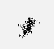 C=CC(=O)N[C@H]1CC2[C@@H]([C@H]1Nc1ncc3cc(-c4c(Cl)c(OC)cc(OC)c4Cl)ccc3n1)[C@H]2C